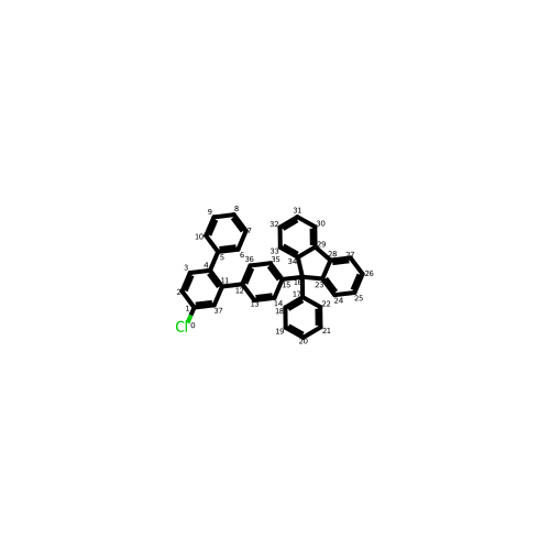 Clc1ccc(-c2ccccc2)c(-c2ccc(C3(c4ccccc4)c4ccccc4-c4ccccc43)cc2)c1